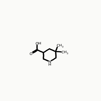 CC1(C)CNCC(C(=O)O)C1